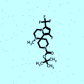 CN1CCn2c(C(F)(F)F)cc(F)c2C12CCN(C(=O)OC(C)(C)C)CC2